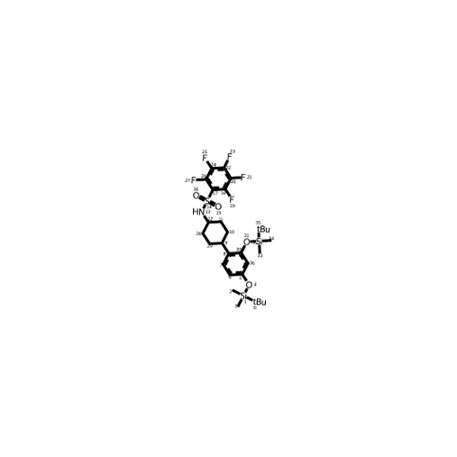 CC(C)(C)[Si](C)(C)Oc1ccc(C2CCC(NS(=O)(=O)c3c(F)c(F)c(F)c(F)c3F)CC2)c(O[Si](C)(C)C(C)(C)C)c1